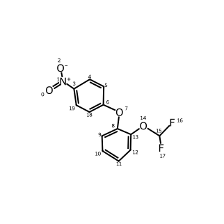 O=[N+]([O-])c1ccc(Oc2ccccc2OC(F)F)cc1